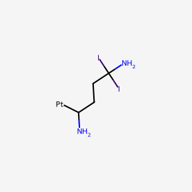 N[CH]([Pt])CCC(N)(I)I